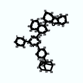 c1ccc(-c2nc(-c3ccc(C45CC6CC(CC(C6)C4)C5)cc3)nc(-c3ccc(-c4cccc5c4oc4ccccc45)c4ccccc34)n2)cc1